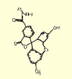 CCNC(=O)c1ccc2c(c1)C(=O)OC21c2ccc(O)cc2OC2C=C(O)C=CC21